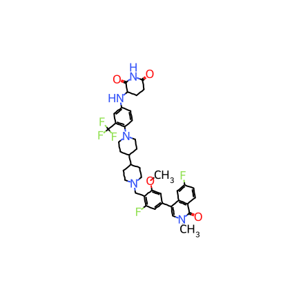 COc1cc(-c2cn(C)c(=O)c3ccc(F)cc23)cc(F)c1CN1CCC(C2CCN(c3ccc(NC4CCC(=O)NC4=O)cc3C(F)(F)F)CC2)CC1